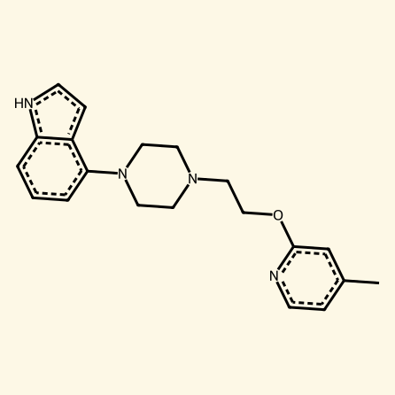 Cc1ccnc(OCCN2CCN(c3cccc4[nH]ccc34)CC2)c1